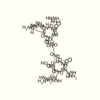 N=C(N)NCCCCCCN1C(=O)[C@@H](Cc2ccc(O)cc2)NC(=O)C(CCCNC(=O)CCCCC(=O)NCCCC2NC(=O)[C@H](Cc3ccc4ccccc4c3)NC(=O)[C@H](CCCNC(=N)N)NC(=O)[C@@H](CCCNC(=N)N)N(CCCCCCNC(=N)N)C(=O)[C@@H](Cc3ccc(O)cc3)NC2=O)NC(=O)[C@H](Cc2ccc3ccccc3c2)NC(=O)[C@H](CCCNC(=N)N)NC(=O)[C@H]1CCCNC(=N)N